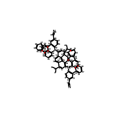 CC(C)c1cc(N(c2ccc(C#N)cc2-c2ccccc2)c2cccc3c2oc2ccccc23)c2ccc3c(C(C)C)cc(N(c4ccc(C#N)cc4-c4ccccc4)c4cccc5c4oc4ccccc45)c4ccc1c2c34